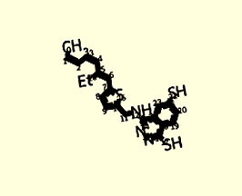 C\C=C/C=C\C(=C\c1ccc(CNc2nnc(S)c3ccc(S)cc23)s1)CC